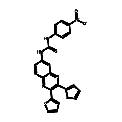 O=[N+]([O-])c1ccc(NC(=S)Nc2ccc3nc(-c4cccs4)c(-c4cccs4)nc3c2)cc1